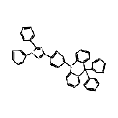 c1ccc(-c2nc(-c3ccc(N4c5ccccc5C(c5ccccc5)(c5ccccc5)c5ccccc54)cc3)nn2-c2ccccc2)cc1